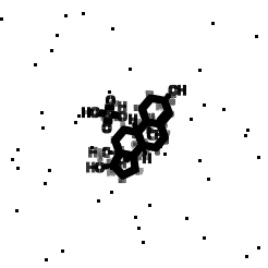 C[C@]12CC[C@H]3[C@@H](CCC4=C[C@H](O)CC[C@@]43C)[C@@H]1CC[C@H]2O.O=S(=O)(O)O